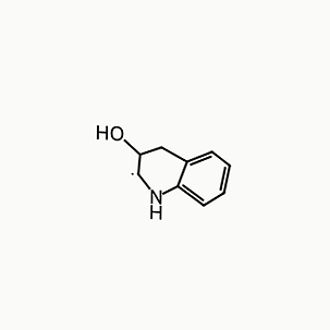 OC1[CH]Nc2ccccc2C1